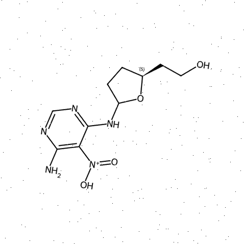 Nc1ncnc(NC2CC[C@@H](CCO)O2)c1[N+](=O)O